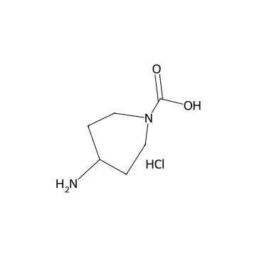 Cl.NC1CCN(C(=O)O)CC1